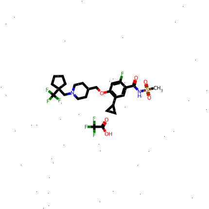 CS(=O)(=O)NC(=O)c1cc(C2CC2)c(OCC2CCN(CC3(C(F)(F)F)CCCC3)CC2)cc1F.O=C(O)C(F)(F)F